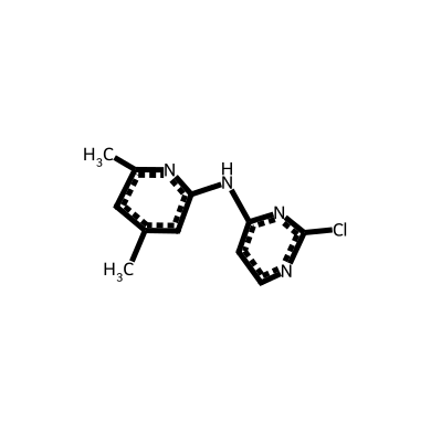 Cc1cc(C)nc(Nc2ccnc(Cl)n2)c1